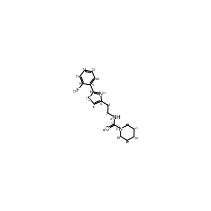 O=C(NCCc1csc(-c2ccccc2F)n1)N1CCCCC1